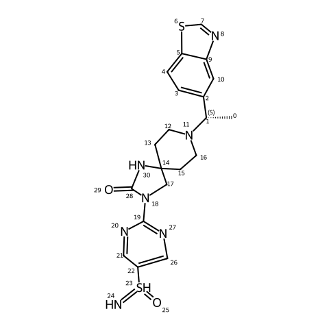 C[C@@H](c1ccc2scnc2c1)N1CCC2(CC1)CN(c1ncc([SH](=N)=O)cn1)C(=O)N2